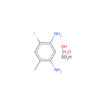 Cc1cc(F)c(N)cc1N.O.O=S(=O)(O)O